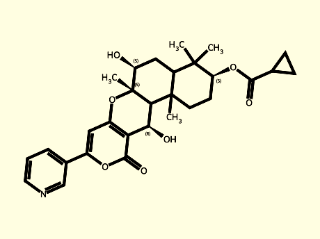 CC12CC[C@H](OC(=O)C3CC3)C(C)(C)C1C[C@H](O)[C@@]1(C)Oc3cc(-c4cccnc4)oc(=O)c3[C@H](O)C21